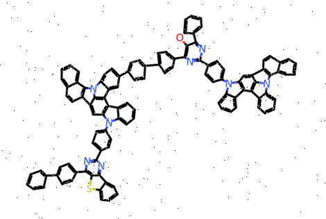 c1ccc(-c2ccc(-c3nc(-c4ccc(-n5c6ccccc6c6c7c8cc(-c9ccc(-c%10ccc(-c%11nc(-c%12ccc(-n%13c%14ccccc%14c%14c%15c%16ccccc%16n%16c%17c%18ccccc%18ccc%17c(cc%14%13)c%15%16)cc%12)nc%12c%11oc%11ccccc%11%12)cc%10)cc9)ccc8n8c9c%10ccccc%10ccc9c(cc65)c78)cc4)nc4c3sc3ccccc34)cc2)cc1